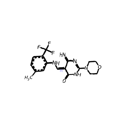 Cc1ccc(C(F)(F)F)c(N/C=C2\C(=N)N=C(N3CCOCC3)NC2=O)c1